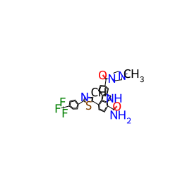 Cc1nc(-c2ccc(C(F)(F)F)cc2)sc1-c1ccc(C(N)=O)c2[nH]c3cc(C(=O)N4CCN(C)CC4)ccc3c12